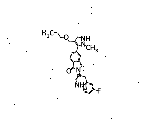 CCCOCC1=C(c2ccc3c(c2)CN([C@H](CN)Cc2cccc(F)c2)C3=O)N(C)NC1